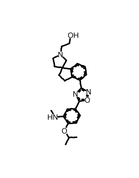 CNc1cc(-c2nc(-c3cccc4c3CCC43CCN(CCO)C3)no2)ccc1OC(C)C